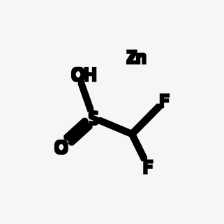 O=S(O)C(F)F.[Zn]